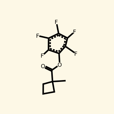 CC1(C(=O)Oc2c(F)c(F)c(F)c(F)c2F)CCC1